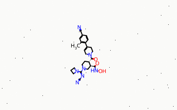 Cc1cc(C#N)ccc1C1=CCN(C(=O)[C@H]2CCN(/C(=N/C#N)N3CCC3)C[C@@H]2C(=O)NO)CC1